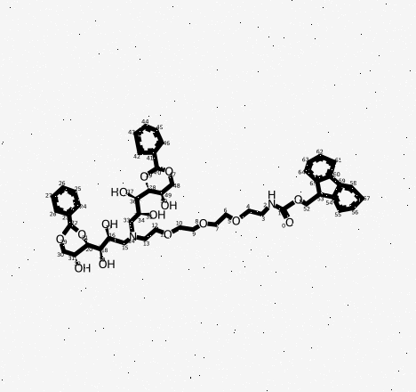 O=C(NCCOCCOCCOCCN(C[C@H](O)[C@@H](O)[C@@H]1OC(c2ccccc2)OC[C@H]1O)C[C@H](O)[C@@H](O)[C@@H]1OC(c2ccccc2)OC[C@H]1O)OCC1c2ccccc2-c2ccccc21